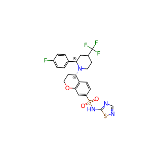 O=S(=O)(Nc1ncns1)c1ccc2c(c1)OCC[C@@H]2N1CCC(C(F)(F)F)C[C@@H]1c1ccc(F)cc1